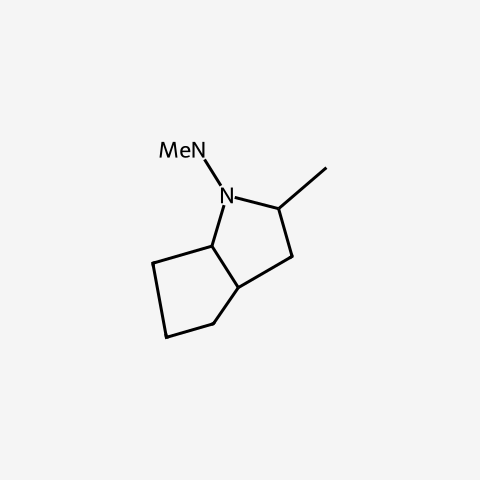 CNN1C(C)CC2CCCC21